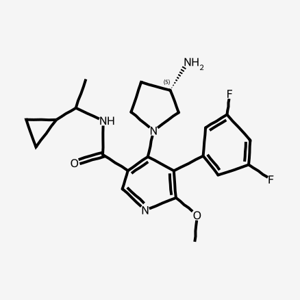 COc1ncc(C(=O)NC(C)C2CC2)c(N2CC[C@H](N)C2)c1-c1cc(F)cc(F)c1